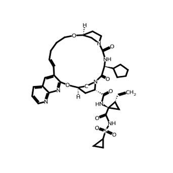 C=C[C@@H]1C[C@]1(NC(=O)[C@@H]1C[C@@H]2CN1C(=O)[C@H](C1CCCC1)NC(=O)N1CC[C@@H](C1)OCCC/C=C/c1cc3cccnc3nc1O2)C(=O)NS(=O)(=O)C1CC1